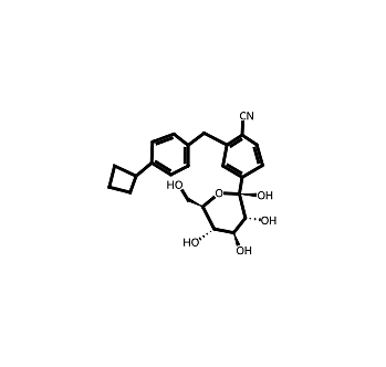 N#Cc1ccc([C@@]2(O)O[C@H](CO)[C@@H](O)[C@H](O)[C@H]2O)cc1Cc1ccc(C2CCC2)cc1